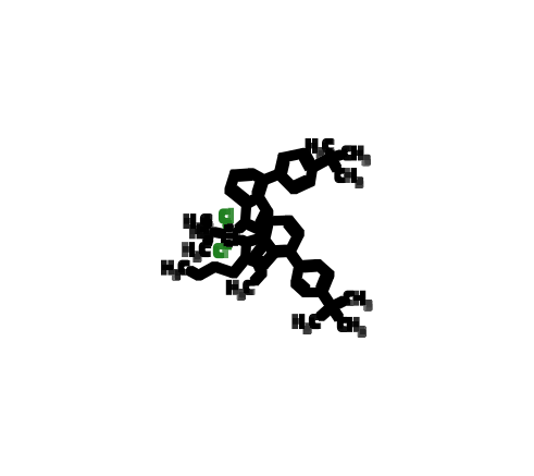 CCCCC1=Cc2c(-c3ccc(C(C)(C)C)cc3)cccc2[CH]1[Hf]([Cl])([Cl])([CH]1C(CCCC)=Cc2c(-c3ccc(C(C)(C)C)cc3)cccc21)[SiH](C)C